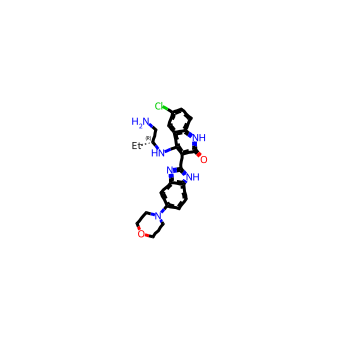 CC[C@H](CN)Nc1c(-c2nc3cc(N4CCOCC4)ccc3[nH]2)c(=O)[nH]c2ccc(Cl)cc12